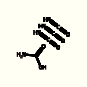 N=C=O.N=C=O.N=C=O.NC(=O)O